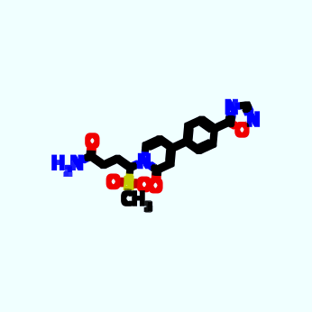 CS(=O)(=O)C(CCC(N)=O)n1ccc(-c2ccc(-c3ncno3)cc2)cc1=O